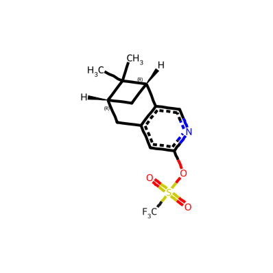 CC1(C)[C@H]2Cc3cc(OS(=O)(=O)C(F)(F)F)ncc3[C@@H]1C2